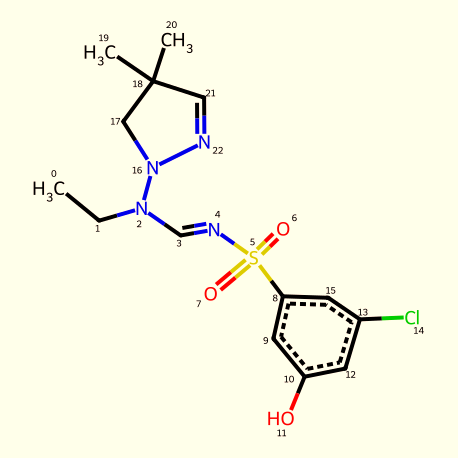 CCN(C=NS(=O)(=O)c1cc(O)cc(Cl)c1)N1CC(C)(C)C=N1